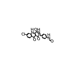 O=CNc1ccc(-n2nc(O)c3[nH]c4cc(Cl)ccc4c(=O)c3c2=O)cc1